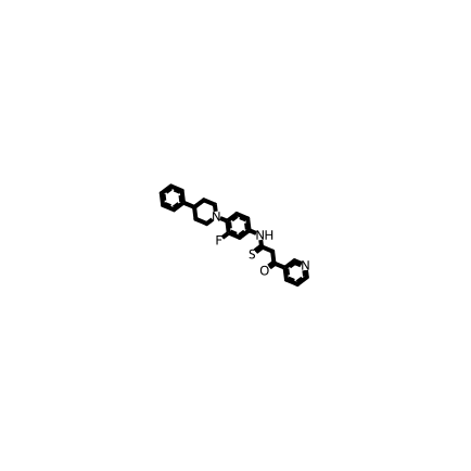 O=C(CC(=S)Nc1ccc(N2CCC(c3ccccc3)CC2)c(F)c1)c1cccnc1